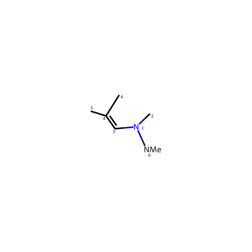 CNN(C)C=C(C)C